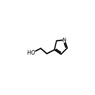 OCCC1=CC=NC1